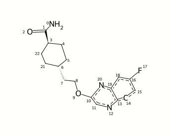 NC(=O)[C@H]1CC[C@H](CCOc2cnc3ccc(F)cc3n2)CC1